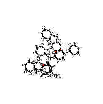 CC(C)(C)c1cc(Br)cc(N(c2ccc(-c3ccccc3)cc2)c2c(-c3cccc4sc5ccccc5c34)cccc2-n2c3ccccc3c3ccccc32)c1